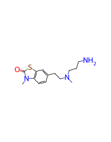 CN(CCCN)CCc1ccc2c(c1)sc(=O)n2C